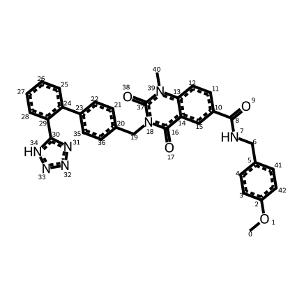 COc1ccc(CNC(=O)c2ccc3c(c2)c(=O)n(Cc2ccc(-c4ccccc4-c4nnn[nH]4)cc2)c(=O)n3C)cc1